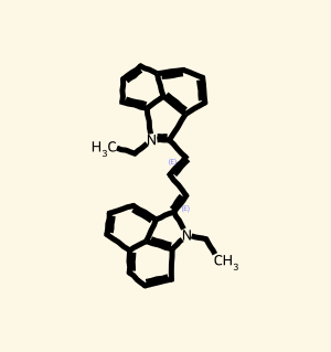 CCn1/c(=C/C=C/C2=[N+](CC)c3cccc4cccc2c34)c2cccc3cccc1c32